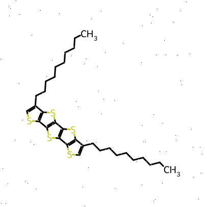 CCCCCCCCCCc1csc2c1sc1c2sc2c3scc(CCCCCCCCCC)c3sc21